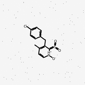 CC1=C(Cc2ccc(Cl)cc2)C(=S(=O)=O)[NH+]([O-])C=C1